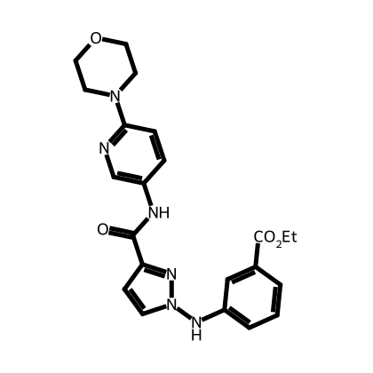 CCOC(=O)c1cccc(Nn2ccc(C(=O)Nc3ccc(N4CCOCC4)nc3)n2)c1